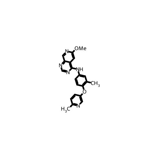 COc1cc2c(Nc3ccc(Oc4ccc(C)nc4)c(C)c3)ncnc2cn1